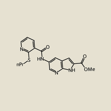 CCCSc1ncccc1C(=O)Nc1cnc2[nH]c(C(=O)OC)cc2c1